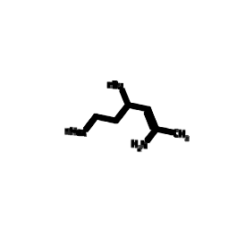 CCCCCCCCC(/C=C(/C)N)CCCC